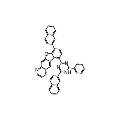 c1ccc(C2N=C(c3ccc(-c4ccc5ccccc5c4)c4oc5cc6ncccc6cc5c34)N=C(c3ccc4ccccc4c3)N2)cc1